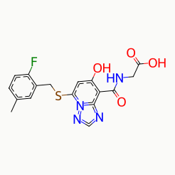 Cc1ccc(F)c(CSc2cc(O)c(C(=O)NCC(=O)O)c3ncnn23)c1